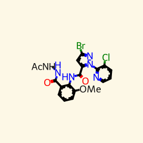 COc1cccc(C(=O)NNC(C)=O)c1NC(=O)c1cc(Br)nn1-c1ncccc1Cl